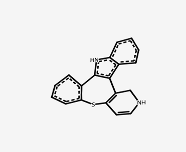 C1=CC2=C(CN1)c1c([nH]c3ccccc13)-c1ccccc1S2